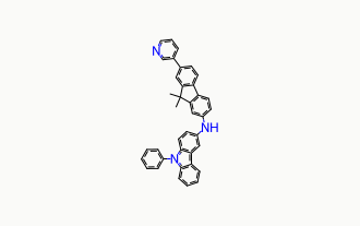 CC1(C)c2cc(Nc3ccc4c(c3)c3ccccc3n4-c3ccccc3)ccc2-c2ccc(-c3cccnc3)cc21